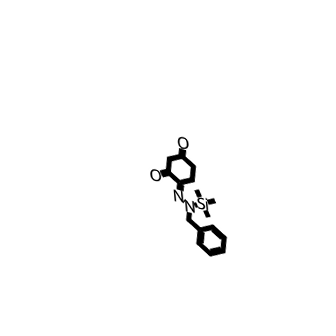 C[Si](C)(C)N(Cc1ccccc1)N=C1CCC(=O)CC1=O